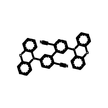 N#Cc1ccc(N2c3ccccc3Oc3ccccc32)cc1-c1cc(N2c3ccccc3Oc3ccccc32)ccc1C#N